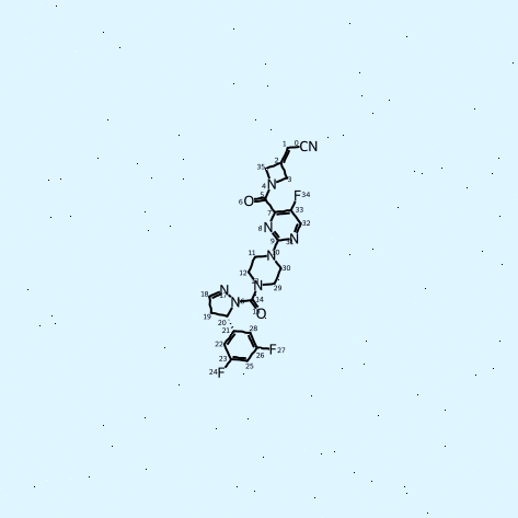 N#CC=C1CN(C(=O)c2nc(N3CCN(C(=O)N4N=CC[C@H]4c4cc(F)cc(F)c4)CC3)ncc2F)C1